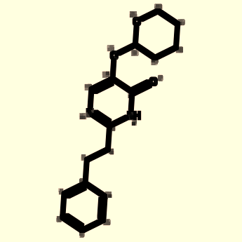 O=c1[nH]c(CCc2ccccc2)ncc1OC1CCCCO1